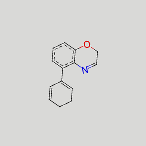 C1=CC(c2cccc3c2N=CCO3)=CCC1